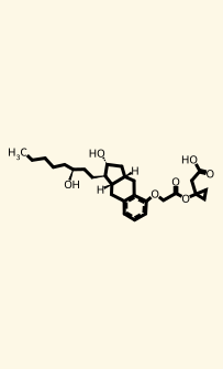 CCCCC[C@H](O)CC[C@@H]1[C@H]2Cc3cccc(OCC(=O)OC4(CC(=O)O)CC4)c3C[C@H]2C[C@H]1O